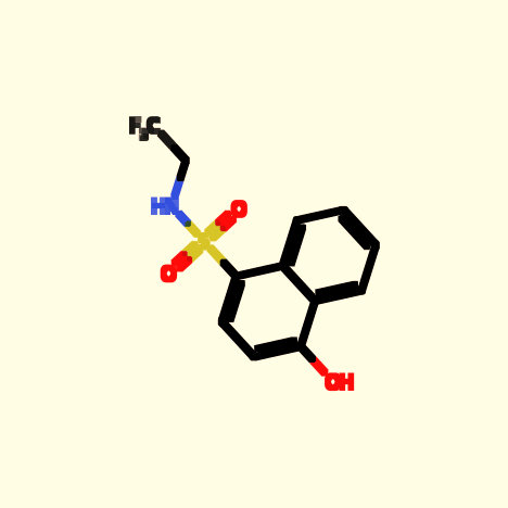 O=S(=O)(NCC(F)(F)F)c1ccc(O)c2ccccc12